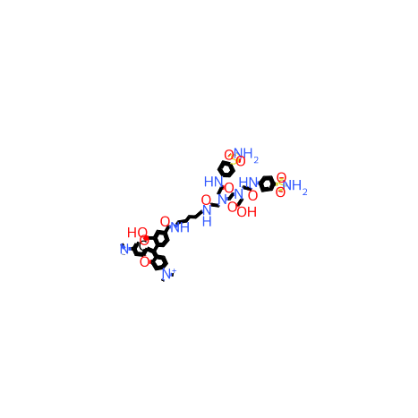 CN(C)c1ccc2c(-c3ccc(C(=O)NCCCCCNC(=O)CN(CCN(CC(=O)O)CC(=O)Nc4ccc(S(N)(=O)=O)cc4)CC(=O)Nc4ccc(S(N)(=O)=O)cc4)cc3C(=O)O)c3ccc(=[N+](C)C)cc-3oc2c1